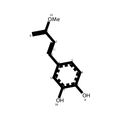 C=C(/C=C/c1ccc(O)c(O)c1)OC